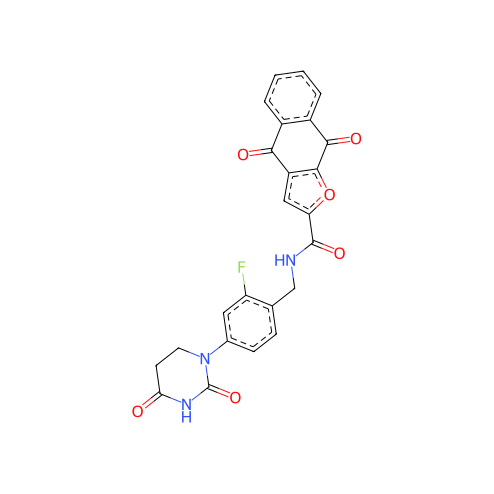 O=C1CCN(c2ccc(CNC(=O)c3cc4c(o3)C(=O)c3ccccc3C4=O)c(F)c2)C(=O)N1